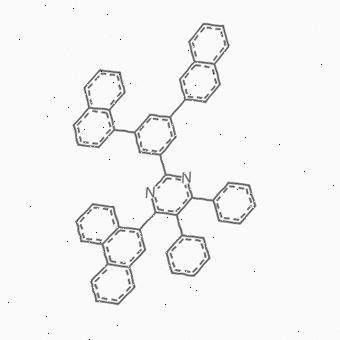 c1ccc(-c2nc(-c3cc(-c4ccc5ccccc5c4)cc(-c4cccc5ccccc45)c3)nc(-c3cc4ccccc4c4ccccc34)c2-c2ccccc2)cc1